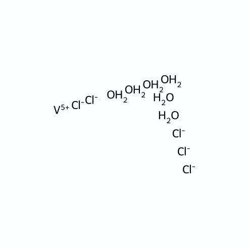 O.O.O.O.O.O.[Cl-].[Cl-].[Cl-].[Cl-].[Cl-].[V+5]